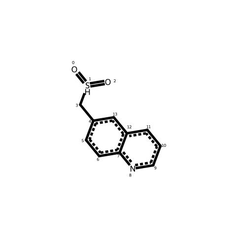 O=[SH](=O)Cc1ccc2nc[c]cc2c1